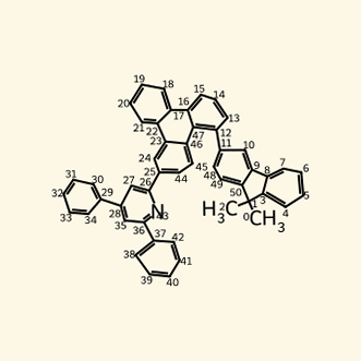 CC1(C)c2ccccc2-c2cc(-c3cccc4c5ccccc5c5cc(-c6cc(-c7ccccc7)cc(-c7ccccc7)n6)ccc5c34)ccc21